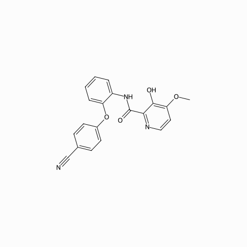 COc1ccnc(C(=O)Nc2ccccc2Oc2ccc(C#N)cc2)c1O